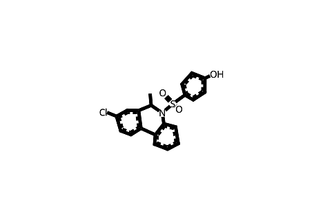 CC1c2cc(Cl)ccc2-c2ccccc2N1S(=O)(=O)c1ccc(O)cc1